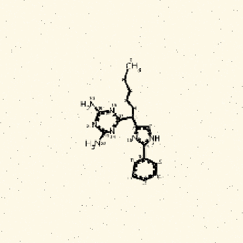 CCCCCC(c1c[nH]c(-c2ccccc2)n1)c1nc(N)nc(N)n1